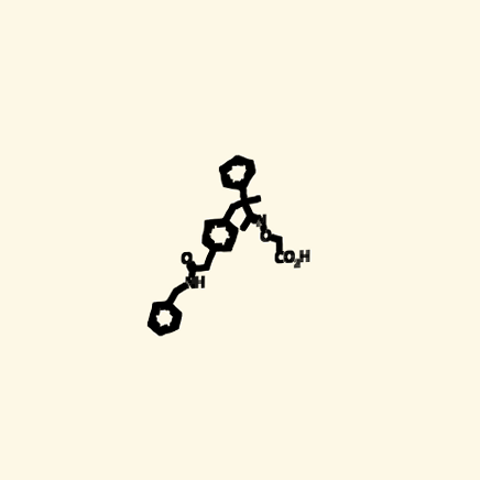 C/C(=N\OCC(=O)O)C(C)(Cc1ccc(CC(=O)NCc2ccccc2)cc1)c1ccccc1